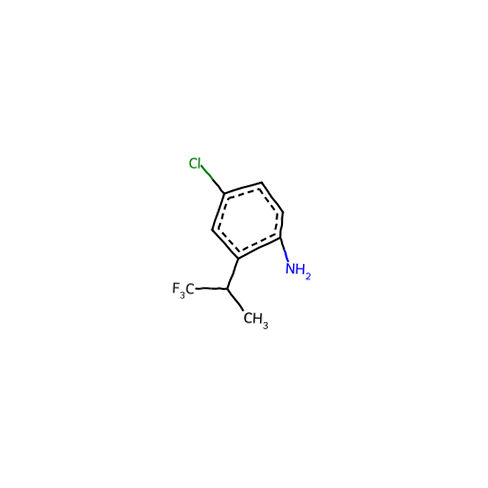 CC(c1cc(Cl)ccc1N)C(F)(F)F